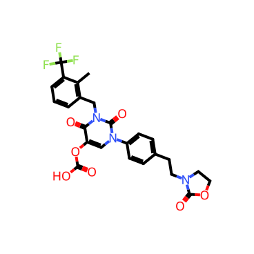 Cc1c(Cn2c(=O)c(OC(=O)O)cn(-c3ccc(CCN4CCOC4=O)cc3)c2=O)cccc1C(F)(F)F